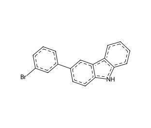 Brc1cccc(-c2ccc3[nH]c4ccccc4c3c2)c1